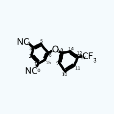 N#Cc1cc(C#N)cc(Oc2cccc(C(F)(F)F)c2)c1